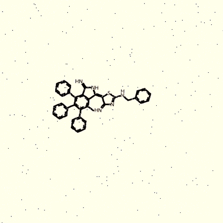 Cc1c2c(c(-c3ccccc3)c(-c3ccccc3)c1-c1ccccc1)C(=N)NC2=C1SC(NCc2ccccc2)=NC1=N